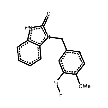 CCOc1cc(Cn2c(=O)[nH]c3ccccc32)ccc1OC